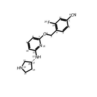 N#Cc1ccc(COc2cccc(N[C@@H]3CCNC3)n2)c(F)c1